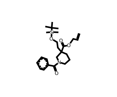 C=CCOC(=O)C1(CCO[Si](C)(C)C(C)(C)C)CCCN(C(=O)c2ccccc2)C1